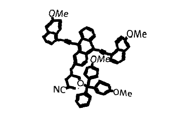 [CH2]C(C#N)CC(COC(c1ccccc1)(c1ccc(OC)cc1)c1ccc(OC)cc1)Cc1ccc2c(C#Cc3cccc4cc(OC)ccc34)c3ccccc3c(C#Cc3cccc4cc(OC)ccc34)c2c1